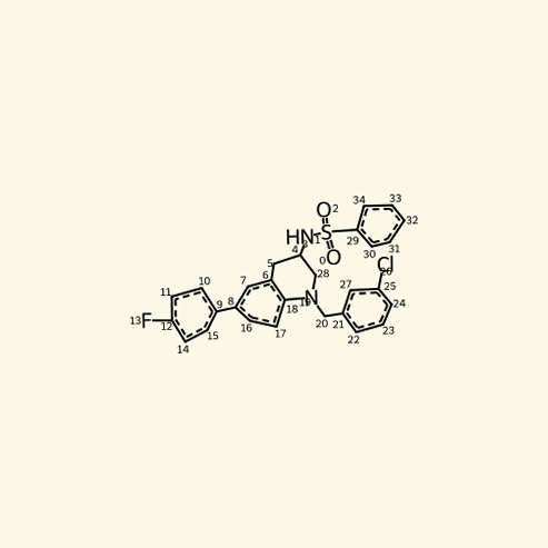 O=S(=O)(NC1Cc2cc(-c3ccc(F)cc3)ccc2N(Cc2cccc(Cl)c2)C1)c1ccccc1